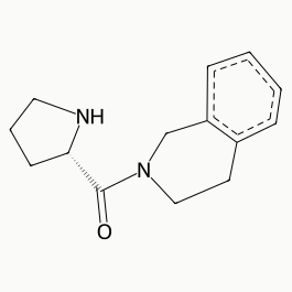 O=C([C@@H]1CCCN1)N1CCc2ccccc2C1